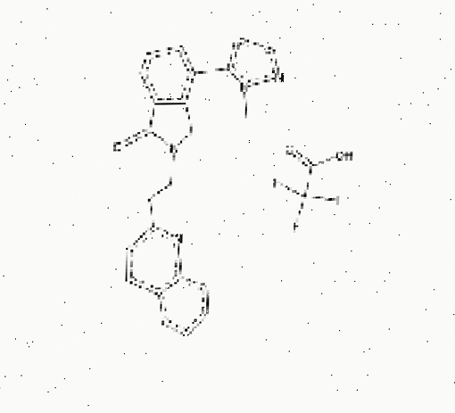 Cn1nccc1-c1cccc2c1CN(CCc1ccc3ccccc3n1)C2=O.O=C(O)C(F)(F)F